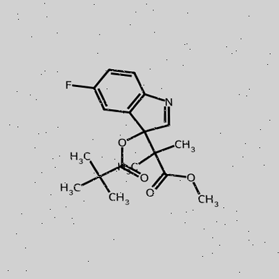 COC(=O)C(C)(C)C1(OC(=O)C(C)(C)C)C=Nc2ccc(F)cc21